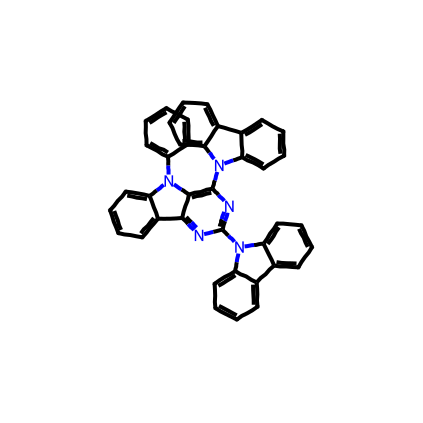 c1ccc(-n2c3ccccc3c3nc(-n4c5ccccc5c5ccccc54)nc(-n4c5ccccc5c5ccccc54)c32)cc1